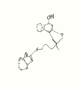 CC1(CCCSc2nc3ccccc3s2)COc2cc(O)c3c(c2C1)C1CCC3C1